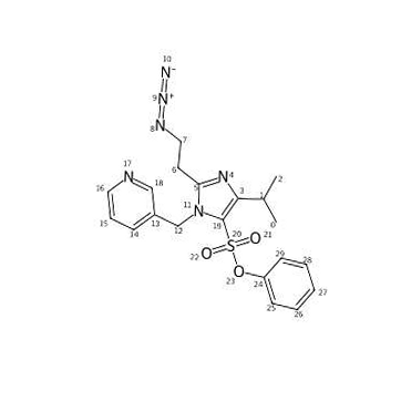 CC(C)c1nc(CCN=[N+]=[N-])n(Cc2cccnc2)c1S(=O)(=O)Oc1ccccc1